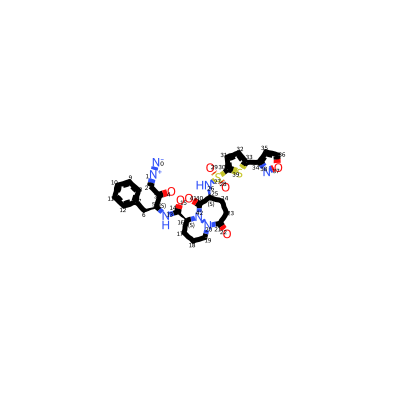 [N-]=[N+]=CC(=O)[C@H](Cc1ccccc1)NC(=O)[C@@H]1CCCN2C(=O)CC[C@H](NS(=O)(=O)c3ccc(-c4ccon4)s3)C(=O)N12